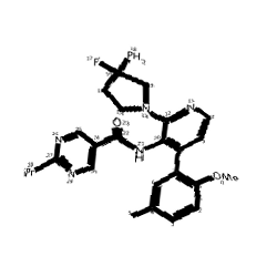 COc1ccc(C)cc1-c1ccnc(N2CCC(F)(P)C2)c1NC(=O)c1cnc(C(C)C)nc1